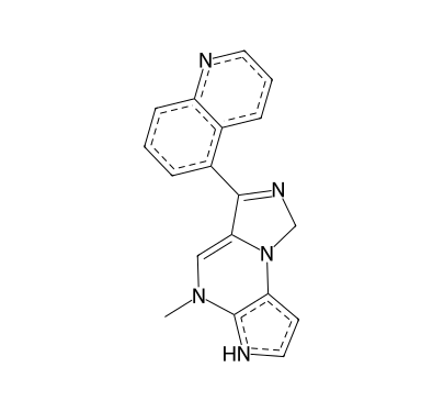 CN1C=C2C(c3cccc4ncccc34)=NCN2c2cc[nH]c21